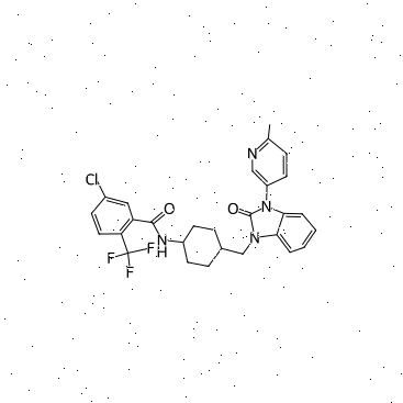 Cc1ccc(-n2c(=O)n(CC3CCC(NC(=O)c4cc(Cl)ccc4C(F)(F)F)CC3)c3ccccc32)cn1